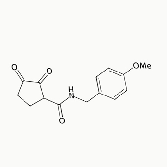 COc1ccc(CNC(=O)C2CCC(=O)C2=O)cc1